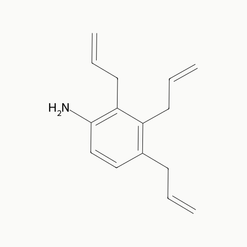 C=CCc1ccc(N)c(CC=C)c1CC=C